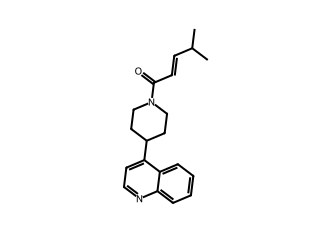 CC(C)C=CC(=O)N1CCC(c2ccnc3ccccc23)CC1